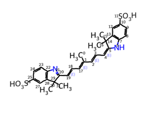 CC(/C=C/C=C1/Nc2ccc(S(=O)(=O)O)cc2C1(C)C)=C\C=C\C1=Nc2ccc(S(=O)(=O)O)cc2C1(C)C